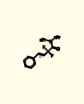 CCCN(CCC)C(=O)C(F)(F)/C=C/c1ccccc1